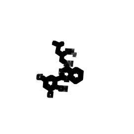 CC(C)CC(N)CNc1nc(-c2cc(Cl)cc(Cl)c2O)nc2ccccc12